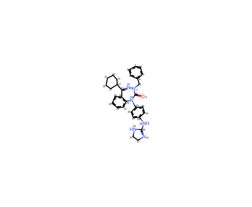 O=C1N(Cc2ccccc2)N=C(C2CCCCC2)c2ccccc2N1c1ccc(NC2=NCCN2)cc1